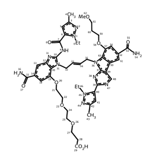 CCn1nc(C)cc1C(=O)Nc1nc2cc(C(N)=O)cc(OCCOCCOCCC(=O)O)c2n1CC=CCn1c2nc(-c3cc(C)nn3CC)ncc2c2cc(C(N)=O)cc(OCCCOC)c21